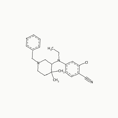 CCN(c1ccc(C#N)c(Cl)c1)C1CN(Cc2ccccc2)CCC1(C)C